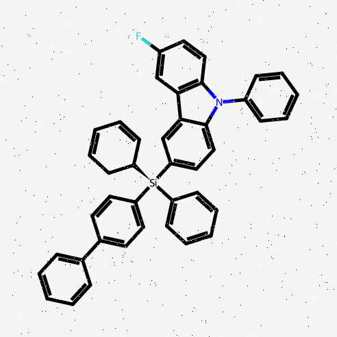 Fc1ccc2c(c1)c1cc([Si@](c3ccccc3)(c3ccc(-c4ccccc4)cc3)C3C=CC=CC3)ccc1n2-c1ccccc1